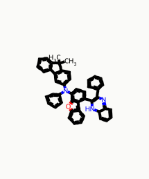 CC1(C)c2ccccc2-c2cc(N(c3ccccc3)c3ccc(C4=C(c5ccccc5)N=C5C=CC=CC5N4)c4c3oc3ccccc34)ccc21